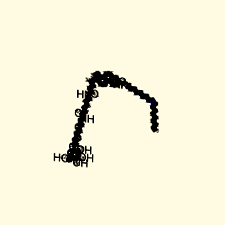 CCCCCCCC/C=C\CCCCCCCCNO[C@@H]1CCC2C(CCC3C2CCC2C3CC[C@@H]2[C@H](C)CCC(=O)NCCCCCC(=O)NCCOCCOCCO[C@H]2OC(CO)[C@@H](O)C(O)C2O)C1